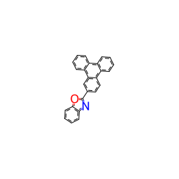 c1ccc2oc(-c3ccc4c5ccccc5c5ccccc5c4c3)nc2c1